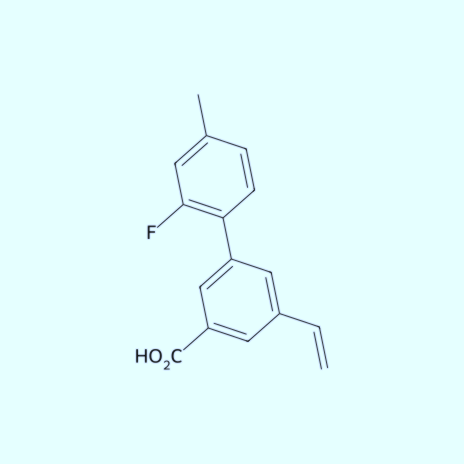 C=Cc1cc(C(=O)O)cc(-c2ccc(C)cc2F)c1